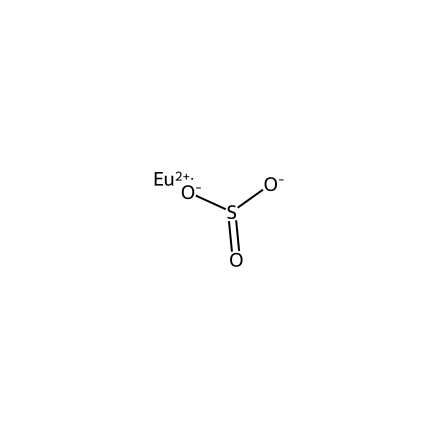 O=S([O-])[O-].[Eu+2]